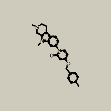 Cc1ccc(COc2ccn(-c3ccc4c5c(n(C)c4c3)CN(C)CC5)c(=O)c2)cc1